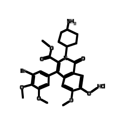 COC(=O)c1c(-c2cc(Br)c(OC)c(OC)c2)c2cc(OC)c(OC)cc2c(=O)n1C1CCC(N)CC1.Cl